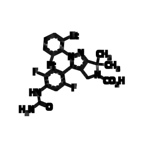 CCc1cccc(CC)c1-n1nc2c(c1-c1cc(F)c(NC(N)=O)cc1F)CN(C(=O)O)C2(C)C